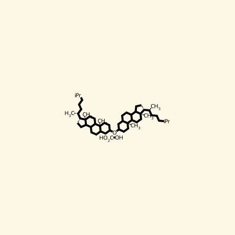 CC(C)CCC[C@@H](C)[C@H]1CCC2C3CCC4CC(OC5CC[C@@]6(C)C(CCC7C6CC[C@@]6(C)C7CC[C@@H]6[C@H](C)CCCC(C)C)C5)CC[C@]4(C)C3CC[C@@]21C.O=C(O)O